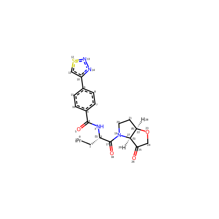 CC(C)C[C@H](NC(=O)c1ccc(-c2csnn2)cc1)C(=O)N1CC[C@H]2OCC(=O)[C@H]21